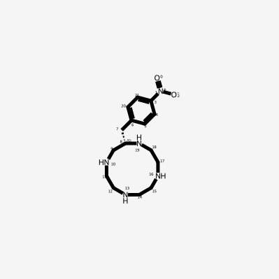 O=[N+]([O-])c1ccc(C[C@H]2CNCCNCCNCCN2)cc1